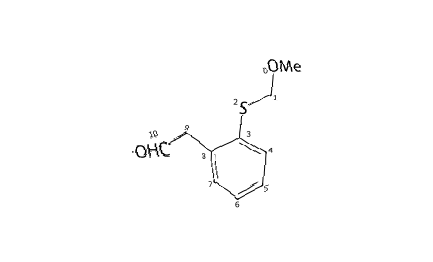 COCSc1ccccc1C[C]=O